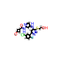 O=C1CC(C(=O)Nc2cc(Nc3cc(-c4cc(Cl)ccc4F)nnc3SCCO)ccn2)C1